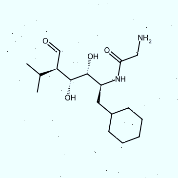 CC(C)[C@@H]([C]=O)[C@@H](O)[C@H](O)[C@H](CC1CCCCC1)NC(=O)CN